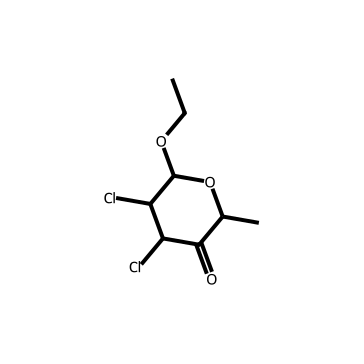 CCOC1OC(C)C(=O)C(Cl)C1Cl